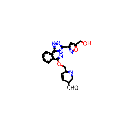 O=CC1C=CC(COc2nn3c(-c4cc(CO)on4)nnc3c3ccccc23)=NC1